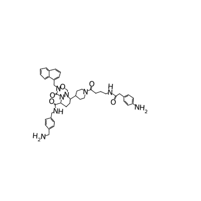 NCc1ccc(CNC(=O)C2CCC(C3CCN(C(=O)CCCNC(=O)Cc4ccc(N)cc4)CC3)N3CON(Cc4cccc5ccccc45)C(=O)N23)cc1